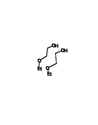 CCOCCO.CCOCCO